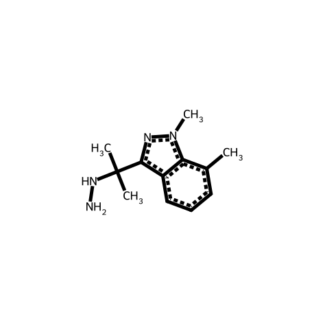 Cc1cccc2c(C(C)(C)NN)nn(C)c12